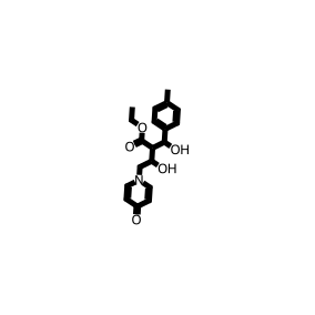 CCOC(=O)C(C(O)Cn1ccc(=O)cc1)C(O)c1ccc(C)cc1